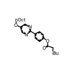 CCCCCCCCOc1cnc(-c2ccc(OC(=O)CC(C)CC)cc2)nc1